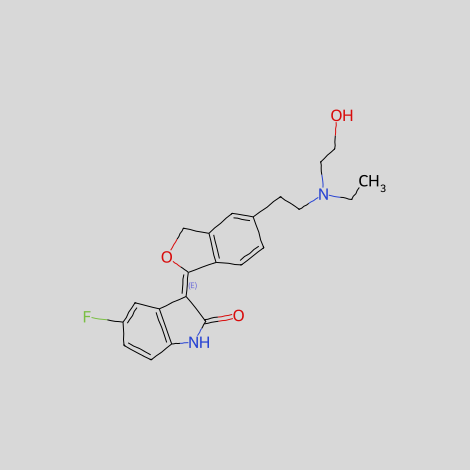 CCN(CCO)CCc1ccc2c(c1)CO/C2=C1/C(=O)Nc2ccc(F)cc21